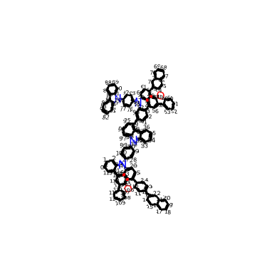 c1ccc(N(c2ccc(-c3ccc(-c4ccc5ccccc5c4)cc3)cc2)c2ccc(-n3c4ccccc4c4c(-c5ccc(-c6ccc7oc8ccccc8c7c6)c(N(c6ccc(-c7ccc8ccccc8c7)cc6)c6ccc(-n7c8ccccc8c8ccccc87)cc6)c5)cccc43)cc2)c(-c2ccc3oc4ccccc4c3c2)c1